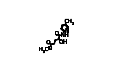 COC(=O)CCC(O)C(=O)Nc1ccc(C)cn1